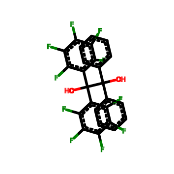 OC(c1ccccc1)(c1ccccc1)C(O)(c1c(F)c(F)c(F)c(F)c1F)c1c(F)c(F)c(F)c(F)c1F